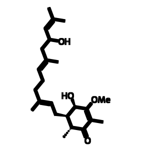 COC1=C(C)C(=O)[C@H](C)[C@@H](C/C=C(\C)CC/C=C(\C)CC(O)C=C(C)C)[C@H]1O